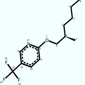 CCCC[C@@H](C)COc1ccc(C(F)(F)F)cn1